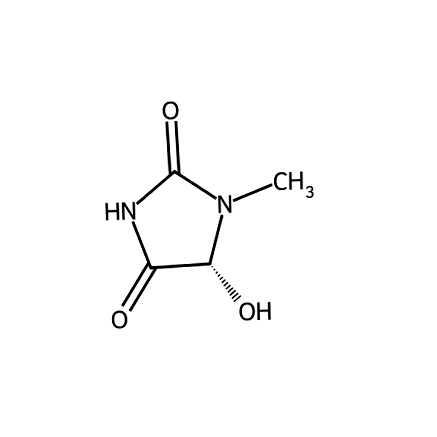 CN1C(=O)NC(=O)[C@H]1O